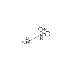 O=C(CCCCCCNc1c2c(nc3ccccc13)CCCCC2)NO